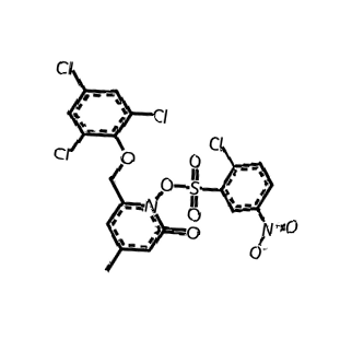 Cc1cc(COc2c(Cl)cc(Cl)cc2Cl)n(OS(=O)(=O)c2cc([N+](=O)[O-])ccc2Cl)c(=O)c1